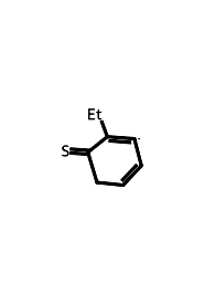 CCC1=[C]C=CCC1=S